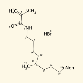 Br.C=C(C)C(=O)NCCCCN(C)CCCCCCCCCCCC